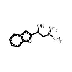 CN(C)CC(O)c1cc2ccccc2o1